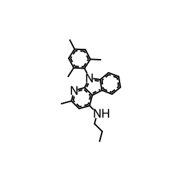 CCCNc1cc(C)nc2c1c1ccccc1n2-c1c(C)cc(C)cc1C